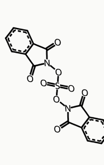 O=C1c2ccccc2C(=O)N1OS(=O)(=O)ON1C(=O)c2ccccc2C1=O